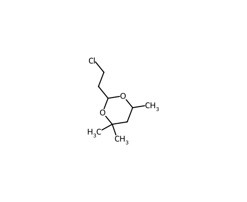 CC1CC(C)(C)OC(CCCl)O1